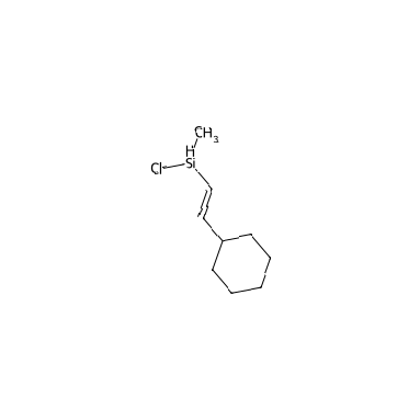 C[SiH](Cl)C=CC1CCCCC1